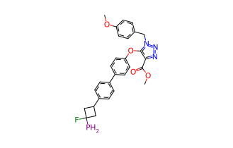 COC(=O)c1nnn(Cc2ccc(OC)cc2)c1Oc1ccc(-c2ccc(C3CC(F)(P)C3)cc2)cc1